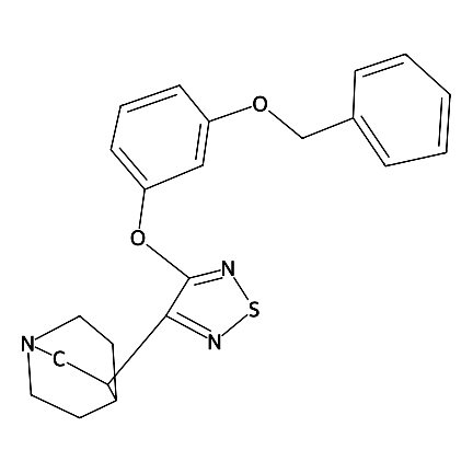 c1ccc(COc2cccc(Oc3nsnc3C3CN4CCC3CC4)c2)cc1